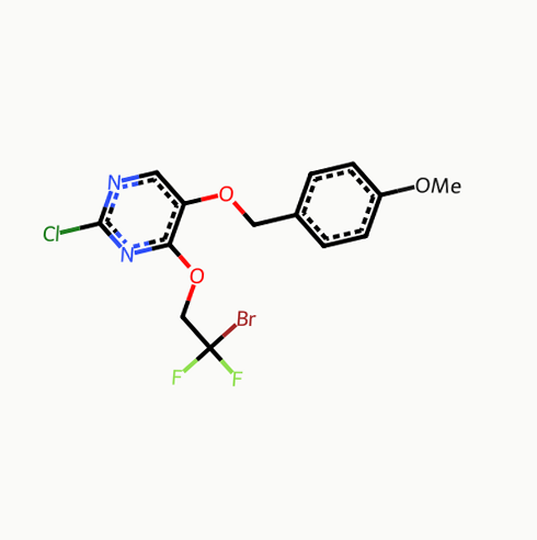 COc1ccc(COc2cnc(Cl)nc2OCC(F)(F)Br)cc1